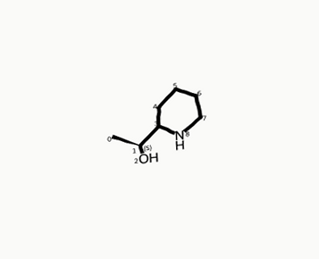 C[C@H](O)C1CCCCN1